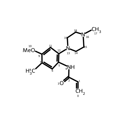 C=CC(=O)Nc1cc(C)c(OC)cc1N1CCN(C)CC1